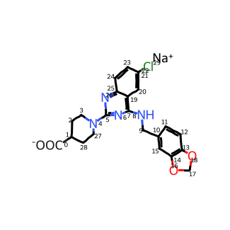 O=C([O-])C1CCN(c2nc(NCc3ccc4c(c3)OCO4)c3cc(Cl)ccc3n2)CC1.[Na+]